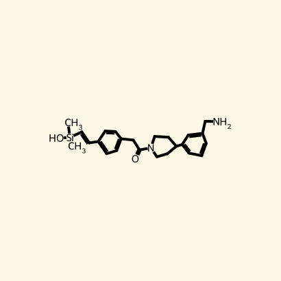 C[Si](C)(O)/C=C/c1ccc(CC(=O)N2CCC(c3cccc(CN)c3)CC2)cc1